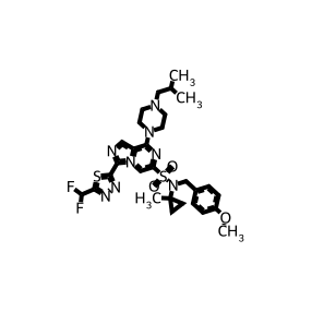 COc1ccc(CN(C2(C)CC2)S(=O)(=O)c2cn3c(-c4nnc(C(F)F)s4)ncc3c(N3CCN(CC(C)C)CC3)n2)cc1